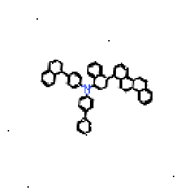 c1ccc(-c2ccc(N(c3ccc(-c4cccc5ccccc45)cc3)c3ccc(-c4cccc5c4ccc4c6ccccc6ccc54)c4ccccc34)cc2)cc1